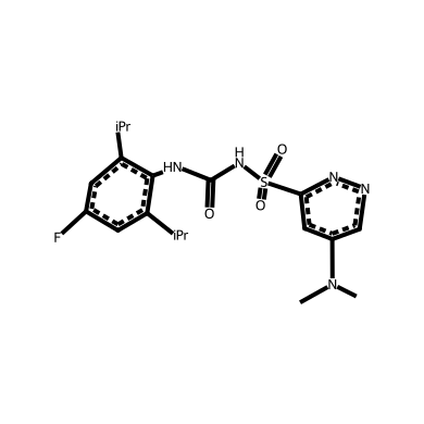 CC(C)c1cc(F)cc(C(C)C)c1NC(=O)NS(=O)(=O)c1cc(N(C)C)cnn1